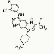 C=C(F)C(=O)Nc1cc2c(Nc3ccc(F)c(Cl)c3)ncnc2cc1OC1CCN(C)CC1